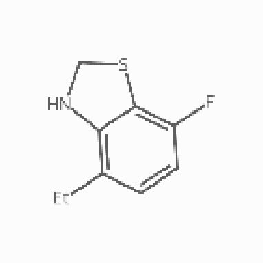 CCc1ccc(F)c2c1NCS2